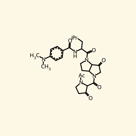 CC(=O)N1CCC(=O)C1C(=O)N1CC(=O)C2C1CCN2C(=O)C(CC(C)C)NC(=O)c1ccc(N(C)C)cc1